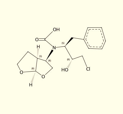 O=C(O)N([C@H]1CO[C@H]2OCC[C@H]21)[C@@H](Cc1ccccc1)[C@@H](O)CCl